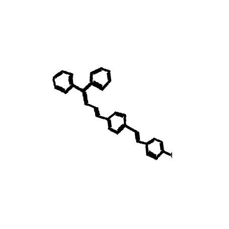 Ic1ccc(C=Cc2ccc(C=CC=C(c3ccccc3)c3ccccc3)cc2)cc1